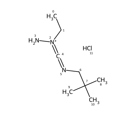 CC[N+](N)=C=NCC(C)(C)C.Cl